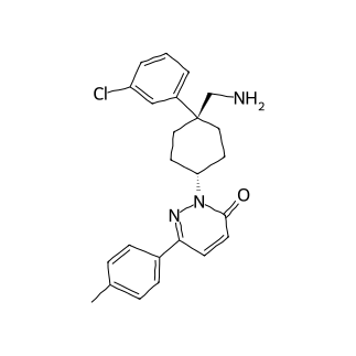 Cc1ccc(-c2ccc(=O)n([C@H]3CC[C@@](CN)(c4cccc(Cl)c4)CC3)n2)cc1